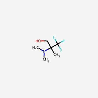 CN(C)C(C)(CO)C(F)(F)F